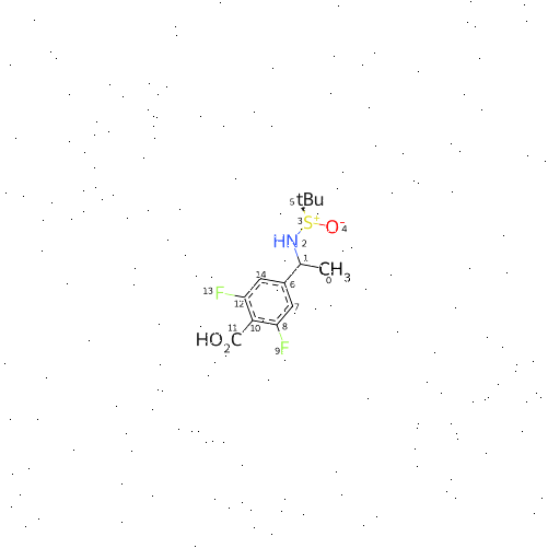 CC(N[S@+]([O-])C(C)(C)C)c1cc(F)c(C(=O)O)c(F)c1